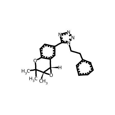 CC1(C)Oc2ccc(-c3nnnn3CCc3ccccc3)cc2[C@@H]2O[C@@]21C